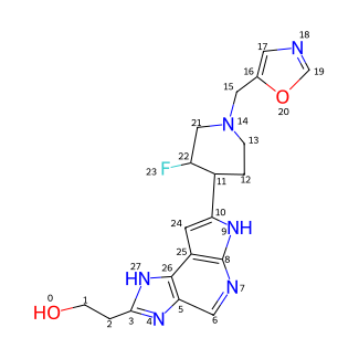 OCCc1nc2cnc3[nH]c(C4CCN(Cc5cnco5)CC4F)cc3c2[nH]1